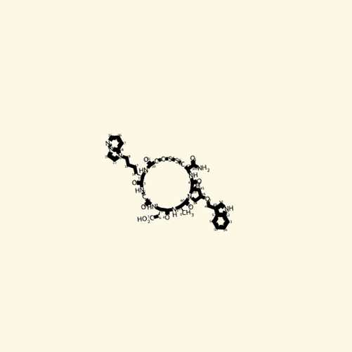 C[C@@H]1NC(=O)[C@H](CC(=O)O)NC(=O)CNC(=O)[C@H](CCCCn2cc[n+]3ncccc23)NC(=O)CCSSCC(C(N)=O)NC(=O)[C@@H]2CC(OCc3c[nH]c4ccccc34)CN2C1=O